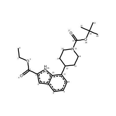 CCOC(=O)c1cc2cccc(C3CCN(C(=O)OC(C)(C)C)CC3)c2[nH]1